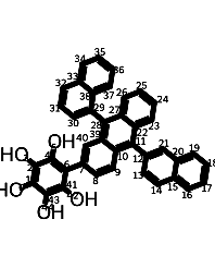 Oc1c(O)c(O)c(-c2ccc3c(-c4ccc5ccccc5c4)c4ccccc4c(-c4cccc5ccccc45)c3c2)c(O)c1O